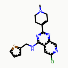 CN1CC=C(c2nc(NCc3cccs3)c3cc(Cl)ncc3n2)CC1